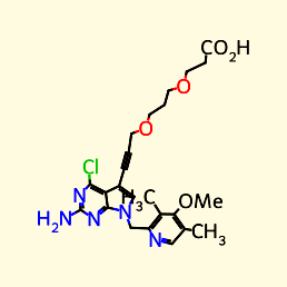 COc1c(C)cnc(Cn2cc(C#CCOCCCOCCC(=O)O)c3c(Cl)nc(N)nc32)c1C